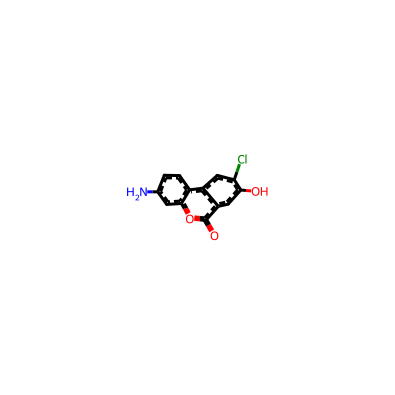 Nc1ccc2c(c1)oc(=O)c1cc(O)c(Cl)cc12